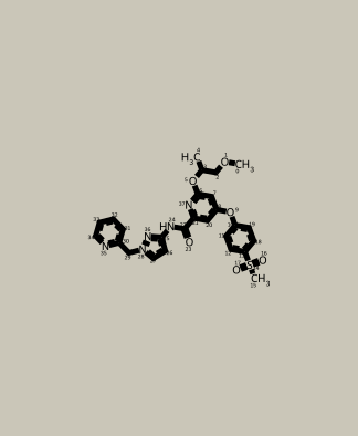 COCC(C)Oc1cc(Oc2ccc(S(C)(=O)=O)cc2)cc(C(=O)Nc2ccn(Cc3ccccn3)n2)n1